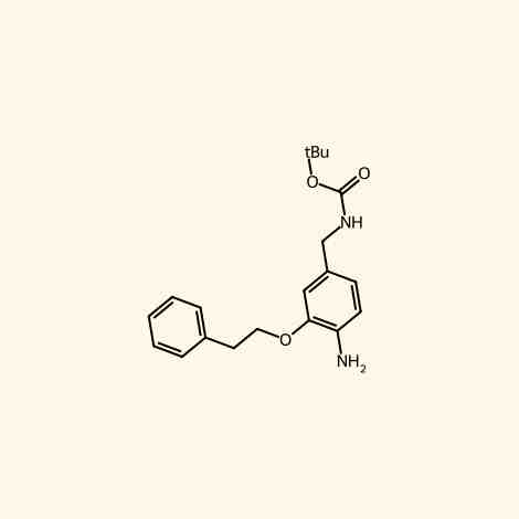 CC(C)(C)OC(=O)NCc1ccc(N)c(OCCc2ccccc2)c1